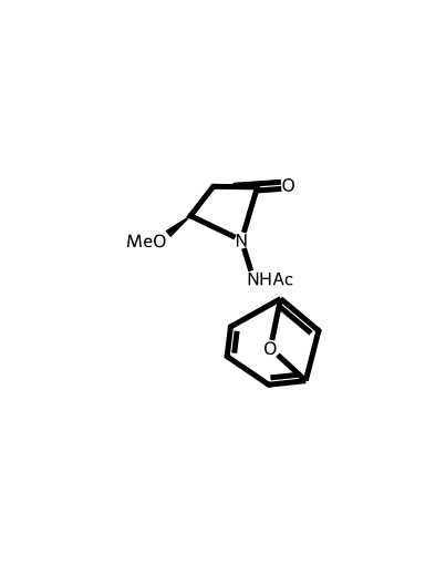 CO[C@H]1CC(=O)N1NC(C)=O.c1cc2cc(c1)O2